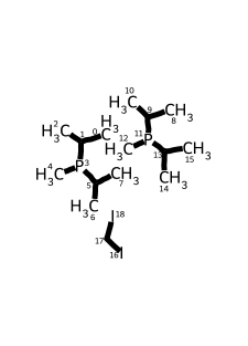 CC(C)P(C)C(C)C.CC(C)P(C)C(C)C.ICI